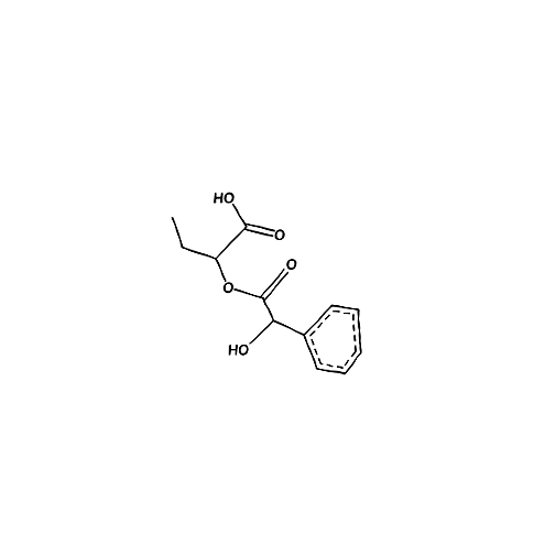 CCC(OC(=O)C(O)c1ccccc1)C(=O)O